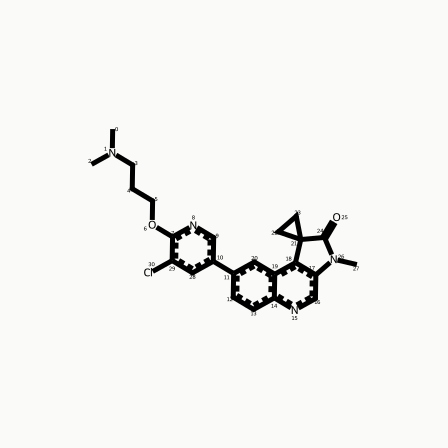 CN(C)CCCOc1ncc(-c2ccc3ncc4c(c3c2)C2(CC2)C(=O)N4C)cc1Cl